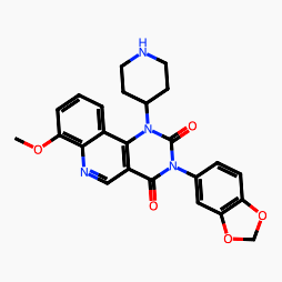 COc1cccc2c1ncc1c(=O)n(-c3ccc4c(c3)OCO4)c(=O)n(C3CCNCC3)c12